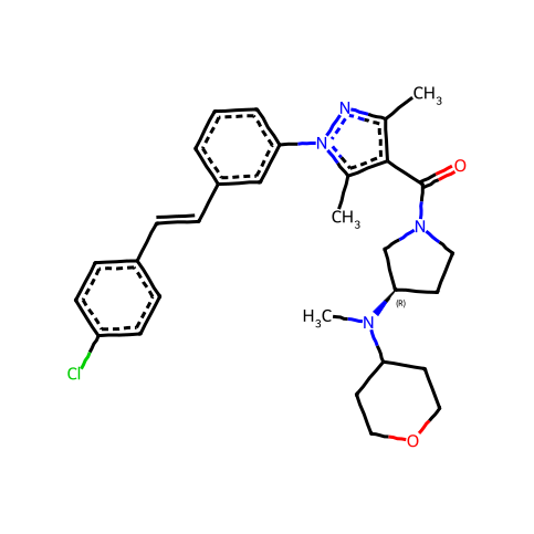 Cc1nn(-c2cccc(C=Cc3ccc(Cl)cc3)c2)c(C)c1C(=O)N1CC[C@@H](N(C)C2CCOCC2)C1